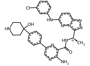 C[C@@H](NC(=O)c1nc(-c2ccc(C3(O)CCNCC3)cc2)cnc1N)c1nnc2ccc(Nc3cccc(Cl)c3)nn12